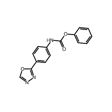 O=C(Nc1ccc(-c2nnco2)cc1)Oc1ccccc1